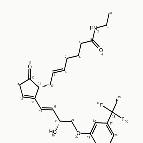 CCNC(=O)CCCC=CC[C@H]1C(=O)CC=C1C=C[C@@H](O)COc1cccc(C(F)(F)F)c1